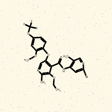 CCOc1c(C)ncc(Oc2ccc(OC(F)(F)F)cc2OC)c1C(=O)Nc1cc(Br)ncc1C